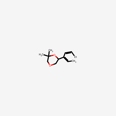 C/C=C(\C=C/CC)C1COCC(C)(C)O1